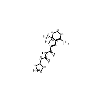 CC1=C(C=CC(=O)NC(=O)OC2CCNC2)C(C)(C)CCC1